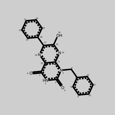 O=c1[nH]c(=O)n(Cc2ccccc2)c2nc(O)c(-c3ccccc3)nc12